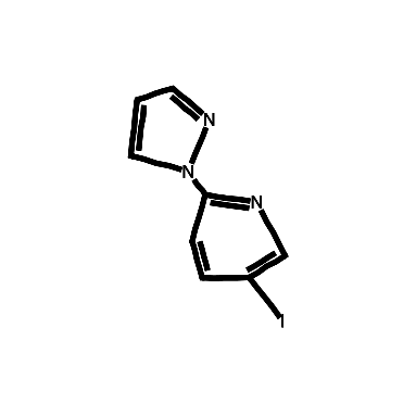 Ic1ccc(-n2cccn2)nc1